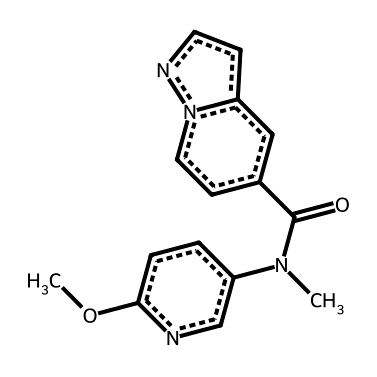 COc1ccc(N(C)C(=O)c2ccn3nccc3c2)cn1